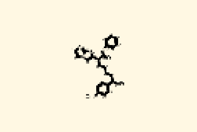 CCCCCCCCc1ccc(C(CCC)CCCCC(C(=O)Oc2ccccc2)c2cn3ccnc3s2)cc1